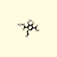 COC(=O)c1c(OC)c(=O)c(C(=O)O)cn1CC=O